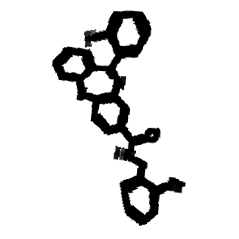 O=C(NCc1ccccc1Br)c1ccc2c(c1)N=C(c1ccccc1F)c1ccccc1S2